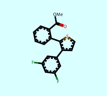 COC(=O)c1ccccc1-c1sccc1-c1cc(F)cc(F)c1